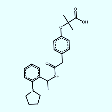 CC(NC(=O)Cc1ccc(OC(C)(C)C(=O)O)cc1)c1ccccc1N1CCCC1